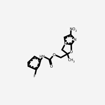 CC1(COC(=O)Nc2cccc(F)c2)Cn2cc([N+](=O)[O-])nc2O1